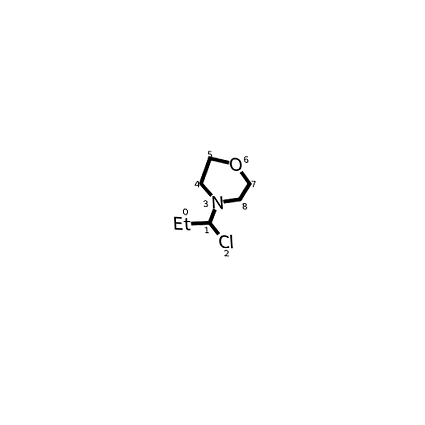 CCC(Cl)N1CCOCC1